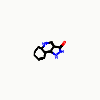 O=C1NNC2=C3C=CCCCC3NCC12